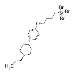 CCC[C@H]1CC[C@H](c2ccc(OCCCC[Si](Br)(Br)Br)cc2)CC1